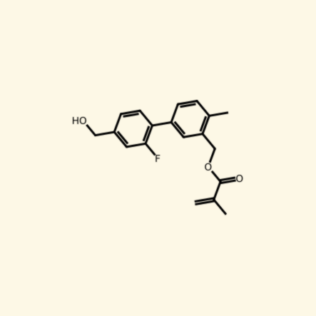 C=C(C)C(=O)OCc1cc(-c2ccc(CO)cc2F)ccc1C